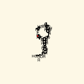 C=C1C[C@@H]2CCO[C@@H]3[C@@H](OC)CO[C@@H]4C[C@H]3O[C@H]3CC[C@H](CC(=O)O[C@H]5C(C[C@H]6O[C@@H](CC[C@@H]1O2)C[C@@H](C)C6=C)O[C@H]1C[C@H]2C[C@@]6(CC7O[C@H](C[C@H](C)[C@@H]8O[C@H](C(O)C[C@@H](O)CO)C[C@@H]8O)C[C@H](C)[C@@H]7O6)C[C@H]2O[C@H]1[C@@H]5C)O[C@@H]34